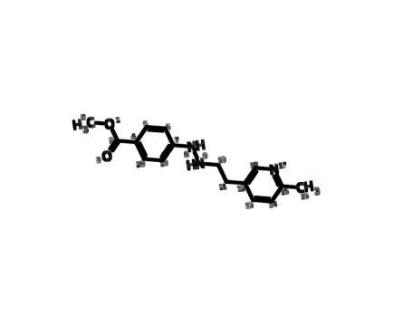 COC(=O)c1ccc(NNCCc2ccc(C)nc2)cc1